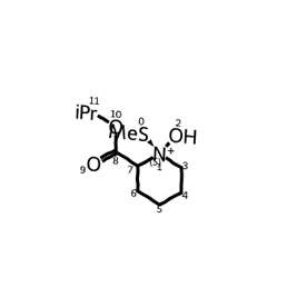 CS[N@@+]1(O)CCCCC1C(=O)OC(C)C